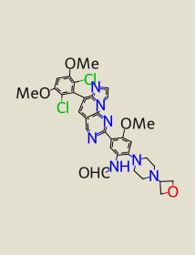 COc1cc(N2CCN(C3COC3)CC2)c(NC=O)cc1-c1ncc2cc(-c3c(Cl)c(OC)cc(OC)c3Cl)c3nccn3c2n1